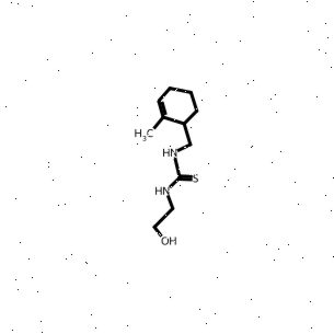 CC1=CCCCC1CNC(=S)NCCO